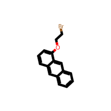 BrCCOc1cccc2cc3ccccc3cc12